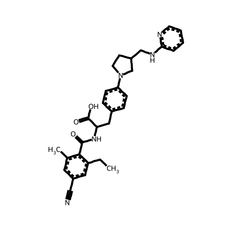 CCc1cc(C#N)cc(C)c1C(=O)NC(Cc1ccc(N2CCC(CNc3ccccn3)C2)cc1)C(=O)O